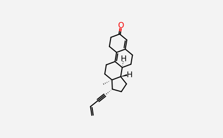 C=CC#C[C@H]1CC[C@H]2[C@@H]3CCC4=CC(=O)CCC4=C3CC[C@]12C